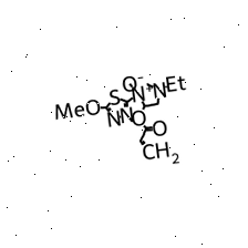 C=CC(=O)OC1CN(CC)C[N+]1([O-])c1nnc(OC)s1